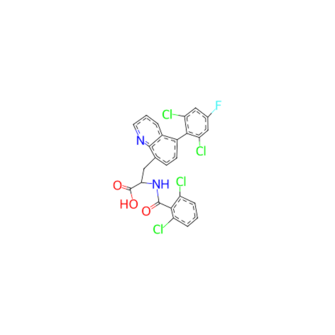 O=C(NC(Cc1ccc(-c2c(Cl)cc(F)cc2Cl)c2cccnc12)C(=O)O)c1c(Cl)cccc1Cl